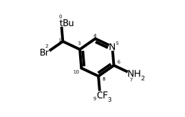 CC(C)(C)C(Br)c1cnc(N)c(C(F)(F)F)c1